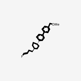 COCc1ccc(-c2ccc([C@H]3CC[C@H](CCC=CF)CC3)cc2)cc1